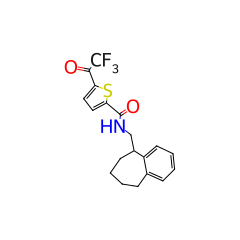 O=C(NCC1CCCCc2ccccc21)c1ccc(C(=O)C(F)(F)F)s1